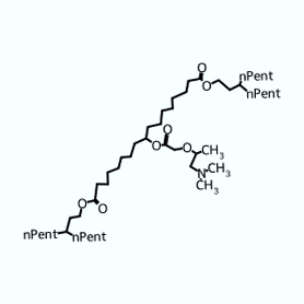 CCCCCC(CCCCC)CCOC(=O)CCCCCCCC(CCCCCCCC(=O)OCCC(CCCCC)CCCCC)OC(=O)COC(C)CN(C)C